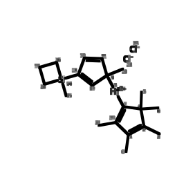 CC1=C(C)C(C)(C)[C]([Hf+2][C]2(C)C=CC([Si]3(C)CCC3)=C2)=C1C.[Cl-].[Cl-]